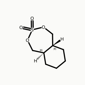 O=S1(=O)OC[C@@H]2CCCC[C@H]2CO1